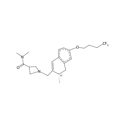 C[C@H]1Cc2cc(OCCCC(F)(F)F)ccc2C=C1CN1CC(C(=O)N(C)C)C1